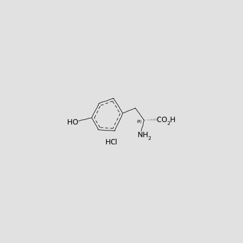 Cl.N[C@H](Cc1ccc(O)cc1)C(=O)O